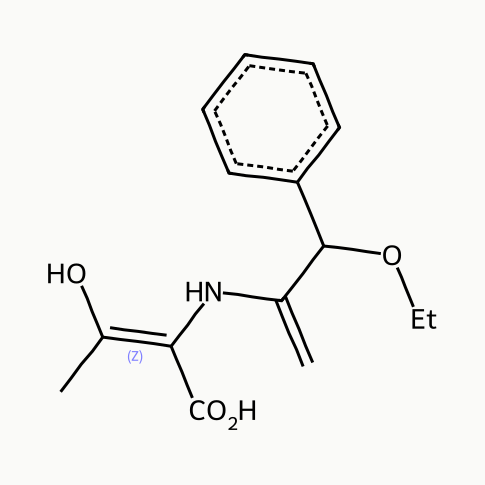 C=C(N/C(C(=O)O)=C(/C)O)C(OCC)c1ccccc1